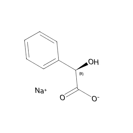 O=C([O-])[C@H](O)c1ccccc1.[Na+]